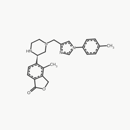 Cc1ccc(-n2cnc(CN3CCN[C@H](c4ccc5c(c4C)COC5=O)C3)c2)cc1